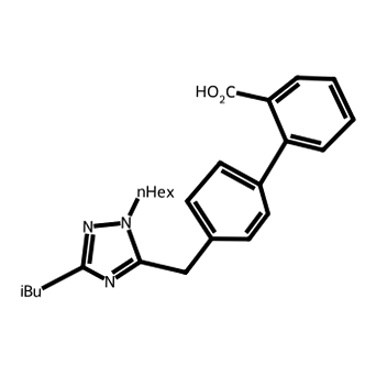 CCCCCCn1nc(C(C)CC)nc1Cc1ccc(-c2ccccc2C(=O)O)cc1